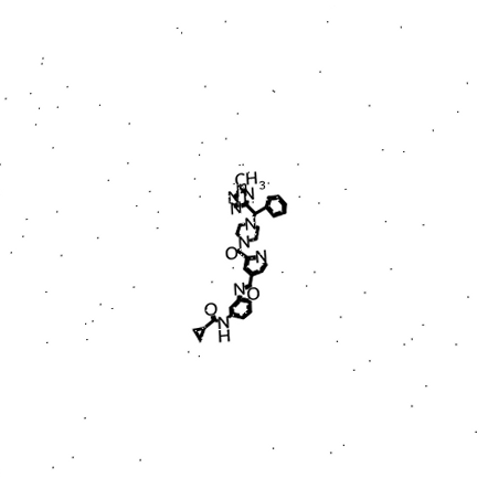 Cn1nnc(C(c2ccccc2)N2CCN(C(=O)c3cc(-c4nc5cc(NC(=O)C6CC6)ccc5o4)ccn3)CC2)n1